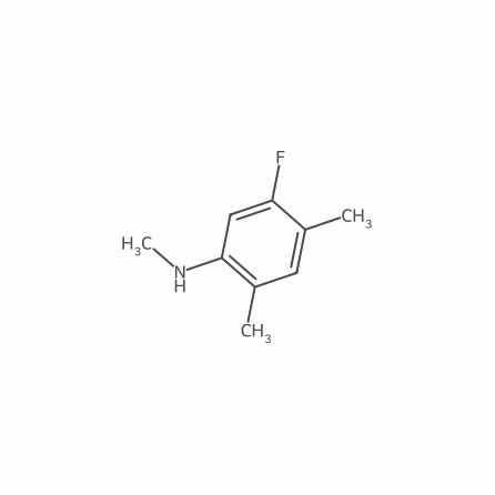 CNc1cc(F)c(C)cc1C